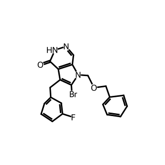 O=c1[nH]ncc2c1c(Cc1cccc(F)c1)c(Br)n2COCc1ccccc1